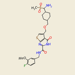 COc1cc(CNC(=O)c2nc3scc(COCC4CCC(C(N)S(C)(=O)=O)CC4)c3c(=O)[nH]2)ccc1F